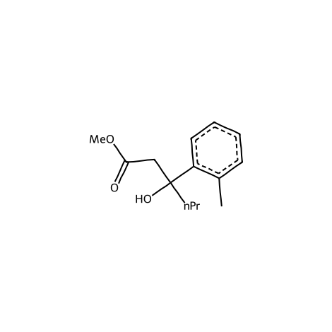 CCCC(O)(CC(=O)OC)c1ccccc1C